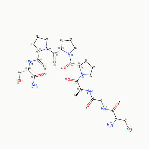 C[C@H](NC(=O)CNC(=O)C(N)CO)C(=O)N1CCC[C@H]1C(=O)N1CCC[C@H]1C(=O)N1CCC[C@H]1C(=O)N[C@@H](CO)C(N)=O